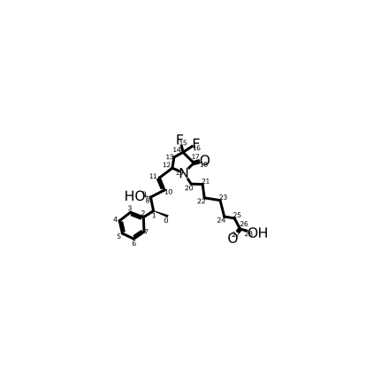 C[C@@H](c1ccccc1)[C@H](O)C=CC1CC(F)(F)C(=O)N1CCCCCCC(=O)O